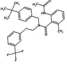 CC(=O)Nc1cccc(C)c1C(=O)N(CCc1cccc(C(F)(F)F)c1)Cc1ccc(C(C)(C)C)cc1